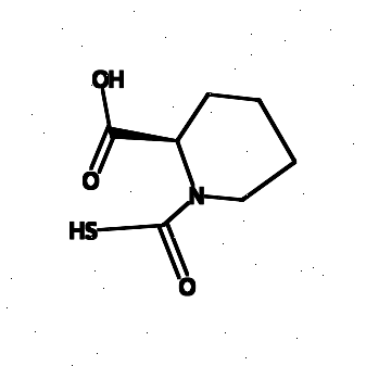 O=C(O)[C@H]1CCCCN1C(=O)S